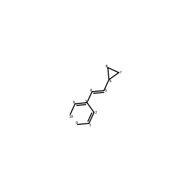 C\C=C/C(/C=C/C1CC1)=C\C